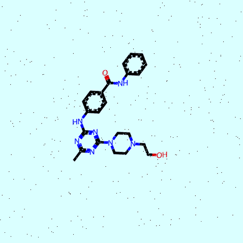 Cc1nc(Nc2ccc(C(=O)Nc3ccccc3)cc2)nc(N2CCN(CCO)CC2)n1